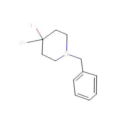 CC(C)C1(O)[C@H](C)CN(Cc2ccccc2)C[C@@H]1C